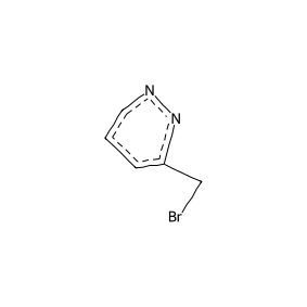 BrCc1cccnn1